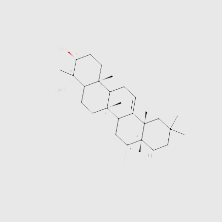 CC1(C)CC[C@]2(C(=O)O)[C@H](O)C[C@]3(C)C(=CCC4[C@@]5(C)CC[C@H](O)[C@@](C)(C=O)C5CC[C@]43C)[C@@H]2C1